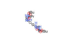 CC(C)[C@@H](NC(=O)OC(C)(C)C)C(=O)N1CCC[C@H]1c1ncc(-c2ccc(C3CCC(c4cnc([C@@H]5CCCN5C(=O)[C@H](NC(=O)OC(C)(C)C)C(C)C)[nH]4)CC3)cc2)[nH]1